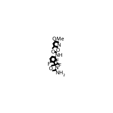 COc1cnc(OC(=O)Nc2ccc(F)c(C3(C(F)F)COCC(N)=N3)c2)c(C)c1